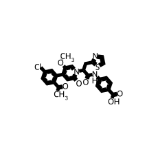 COc1cn(C(Cc2nccs2)C(=O)Nc2ccc(C(=O)O)cc2)c(=O)cc1-c1cc(Cl)ccc1C(C)=O